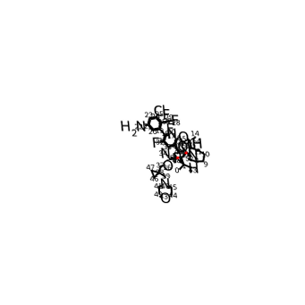 CC(C)=C(F)C(=O)N1[C@@H]2CC[C@H]1[C@H]1[C@H](C)Oc3nc(-c4cc(N)cc(Cl)c4C(F)(F)F)c(F)c4nc(OCC5(CN6CCOCC6)CC5)nc(c34)N1C2